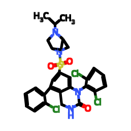 CC(C)N1CC2CC1CN2S(=O)(=O)c1cc(-c2ccccc2Cl)c2c(c1)N(c1c(Cl)cccc1Cl)C(=O)NC2